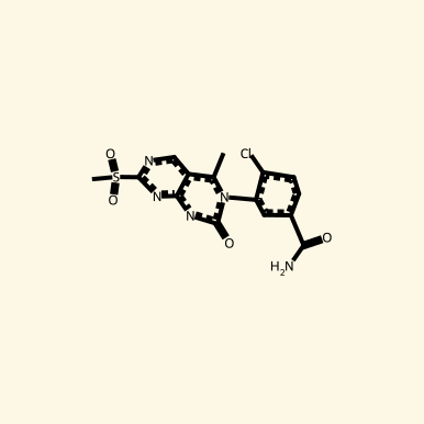 Cc1c2cnc(S(C)(=O)=O)nc2nc(=O)n1-c1cc(C(N)=O)ccc1Cl